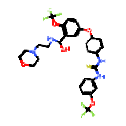 OC(NCCN1CCOCC1)c1cc(OC2CCC(NC(=S)Nc3cccc(OC(F)(F)F)c3)CC2)ccc1OC(F)(F)F